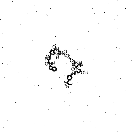 Cc1ncsc1-c1ccc(CNC(=O)[C@@H]2C[C@@H](O)CN2C(=O)C(NC(=O)COCCOCC(=O)NCCN(C)C(=O)c2ccc(-c3cc(C(=O)N[C@@H]4CCc5ccccc54)no3)cc2O)C(C)(C)C)cc1